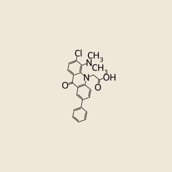 CN(C)c1c(Cl)ccc2c(=O)c3cc(-c4ccccc4)ccc3n(CC(=O)O)c12